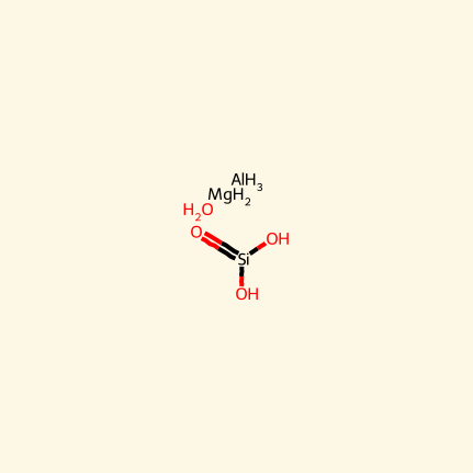 O.O=[Si](O)O.[AlH3].[MgH2]